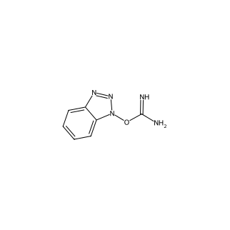 N=C(N)On1nnc2ccccc21